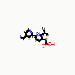 CCc1ccnc(-c2ccc(CC(=O)O)c(C(C)C)n2)c1